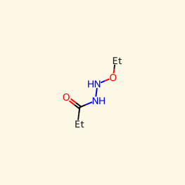 CCONNC(=O)CC